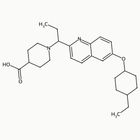 CCC1CCC(Oc2ccc3nc(C(CC)N4CCC(C(=O)O)CC4)ccc3c2)CC1